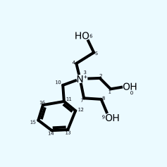 OCC[N+](CCO)(CCO)Cc1ccccc1